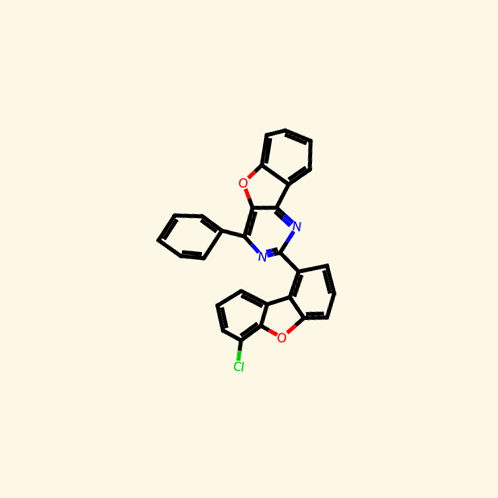 Clc1cccc2c1oc1cccc(-c3nc(-c4ccccc4)c4oc5ccccc5c4n3)c12